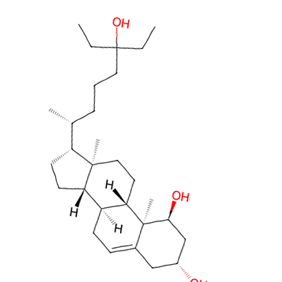 CCC(O)(CC)CCC[C@@H](C)[C@H]1CC[C@H]2[C@@H]3CC=C4C[C@@H](O)C[C@H](O)[C@]4(C)[C@H]3CC[C@]12C